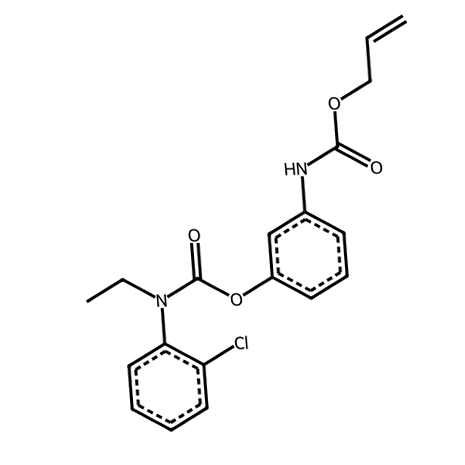 C=CCOC(=O)Nc1cccc(OC(=O)N(CC)c2ccccc2Cl)c1